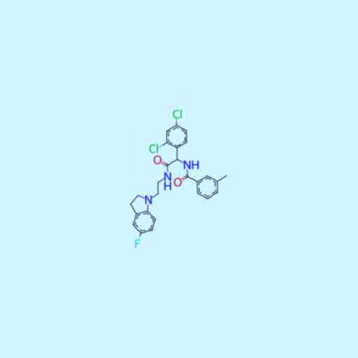 Cc1cccc(C(=O)NC(C(=O)NCCN2CCc3cc(F)ccc32)c2ccc(Cl)cc2Cl)c1